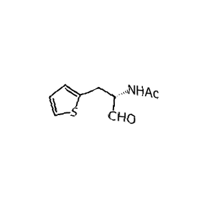 CC(=O)N[C@H](C=O)Cc1cccs1